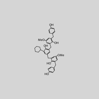 COc1cc(Cc2ccc(O)cc2)c(O)c(Cc2cc(Cc3cc(OC)cc(Cc4ccc(O)cc4)c3O)c(O)c(C3CCCCC3)c2)c1